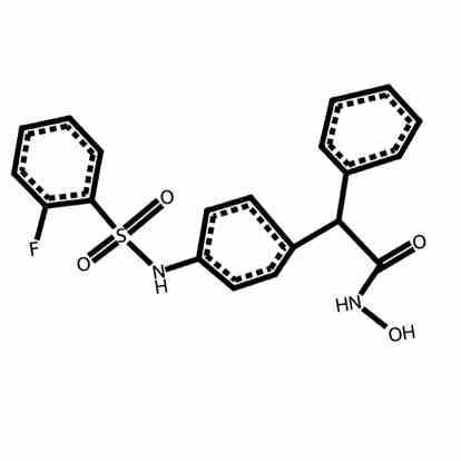 O=C(NO)C(c1ccccc1)c1ccc(NS(=O)(=O)c2ccccc2F)cc1